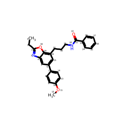 CCc1nc2cc(-c3ccc(OC)cc3)cc(CCCNC(=O)c3ccccc3)c2o1